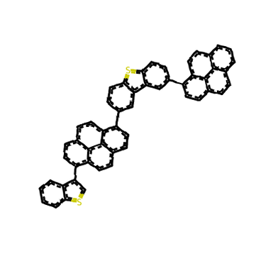 c1cc2ccc3ccc(-c4ccc5sc6ccc(-c7ccc8ccc9c(-c%10csc%11ccccc%10%11)ccc%10ccc7c8c%109)cc6c5c4)c4ccc(c1)c2c34